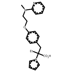 CCC(Cc1ccc(OCCN(C)c2ccccn2)cc1)(C(=O)O)n1cccc1